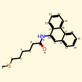 CSCCCCCC(=O)Nc1cc2ccccc2c2ccccc12